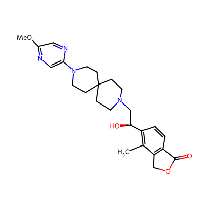 COc1cnc(N2CCC3(CCN(C[C@H](O)c4ccc5c(c4C)COC5=O)CC3)CC2)cn1